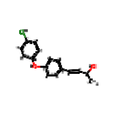 CC(O)C#Cc1ccc(Oc2ccc(Cl)cc2)cc1